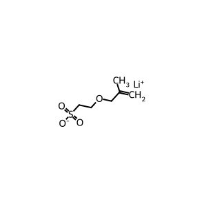 C=C(C)COCCS(=O)(=O)[O-].[Li+]